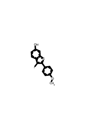 COc1ccc(-c2sc3cc(O)ccc3c2I)cc1